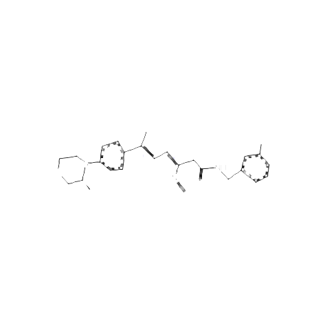 C=N/C(=C\C=C(/C)c1ccc(N2CCOC[C@@H]2C)cc1)CC(=O)NCc1cccc(F)c1